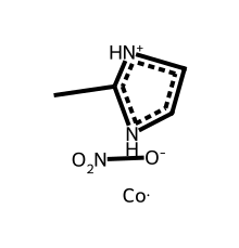 Cc1[nH]cc[nH+]1.O=[N+]([O-])[O-].[Co]